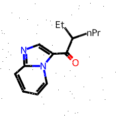 CCCC(CC)C(=O)c1cnc2ccccn12